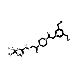 CC(C)(C)OC(=O)NOCC(=O)N1CCN(C(=O)C[n+]2cc(CBr)cc(CBr)c2)CC1